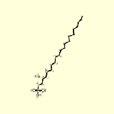 CCCCCCCCCCCCCCCCOC[C@@H](O)COP(=O)(O)O